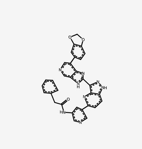 O=C(Cc1ccccc1)Nc1cncc(-c2ccc3[nH]nc(-c4nc5c(-c6ccc7c(c6)OCO7)cncc5[nH]4)c3n2)c1